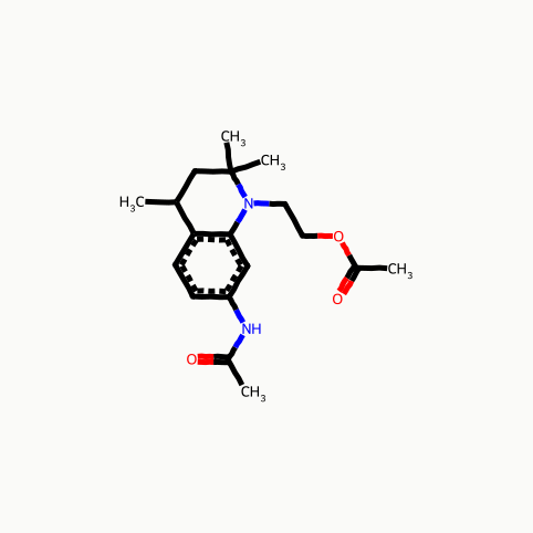 CC(=O)Nc1ccc2c(c1)N(CCOC(C)=O)C(C)(C)CC2C